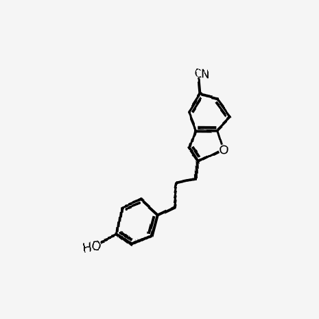 N#Cc1ccc2oc(CCCc3ccc(O)cc3)cc2c1